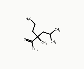 CCCC(C)(CC(C)C)C(C)=O